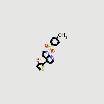 Cc1ccc(S(=O)(=O)n2ccc3c(-c4sccc4Br)ccnc32)cc1